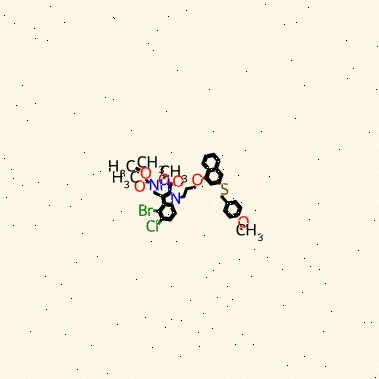 COC(=O)c1c(CNC(=O)OC(C)(C)C)c2c(Br)c(Cl)ccc2n1CCCOc1cc(SCc2ccc(OC)cc2)cc2ccccc12